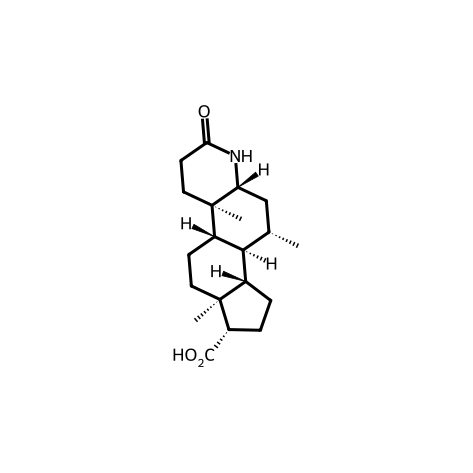 C[C@H]1C[C@H]2NC(=O)CC[C@]2(C)[C@H]2CC[C@]3(C)[C@@H](C(=O)O)CC[C@H]3[C@H]12